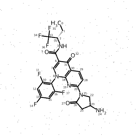 CC[C@H](NC(=O)c1cn(-c2c(F)cc(F)cc2F)c2nc(N3CC(N)CC3=O)ccc2c1=O)C(F)(F)F